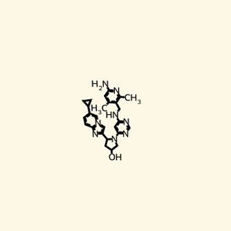 Cc1cc(N)nc(C)c1CNc1cc(N2CC(O)CC2c2cn3cc(C4CC4)ccc3n2)ncn1